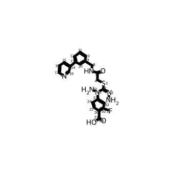 N/N=C(/SCC(=O)NCc1cccc(-c2cccnc2)c1)N(N)c1ccc(C(=O)O)c(F)c1